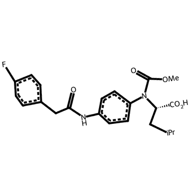 COC(=O)N(c1ccc(NC(=O)Cc2ccc(F)cc2)cc1)[C@@H](CC(C)C)C(=O)O